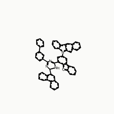 c1ccc(-c2cccc(C3=NC(c4cc5ccccc5c5ccccc45)NC(c4cc(-n5c6ccccc6c6cc7ccccc7cc65)cc5c4oc4ccccc45)=N3)c2)cc1